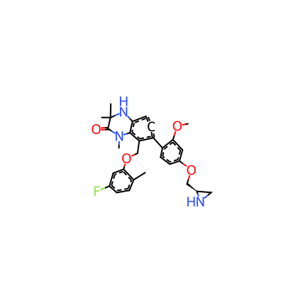 COc1cc(OC[C@H]2CN2)ccc1-c1ccc2c(c1COc1cc(F)ccc1C)N(C)C(=O)C(C)(C)N2